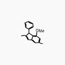 COc1cc(C)cc2c1C(c1ccccc1)C(C)=C2